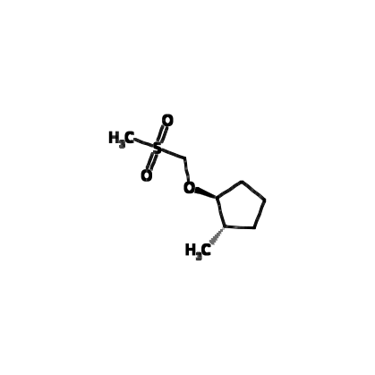 C[C@H]1CCC[C@@H]1OCS(C)(=O)=O